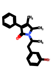 CC1=C(c2ccccc2)C(=O)N(C(C)Cc2cccc(Br)c2)C1C